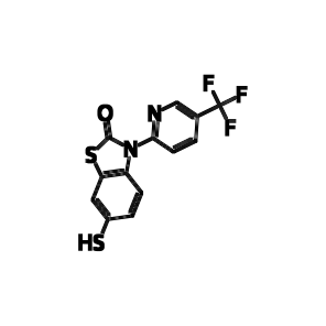 O=c1sc2cc(S)ccc2n1-c1ccc(C(F)(F)F)cn1